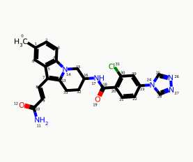 Cc1ccc2c(c1)c(/C=C/C(N)=O)c1n2CC(NC(=O)c2ccc(-n3cnnc3)cc2Cl)CC1